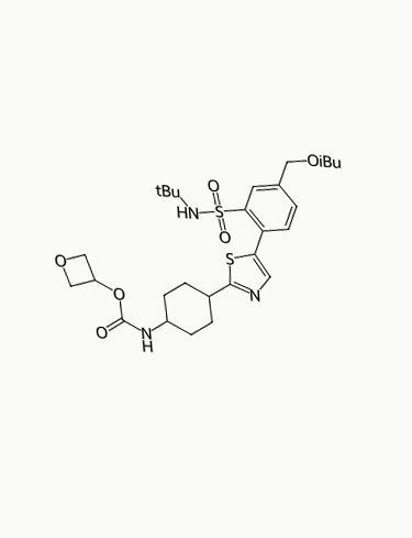 CC(C)COCc1ccc(-c2cnc(C3CCC(NC(=O)OC4COC4)CC3)s2)c(S(=O)(=O)NC(C)(C)C)c1